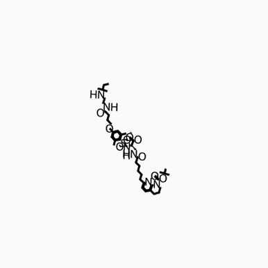 CCC(C)(C)NCCNC(=O)CCCOc1cc(C)c(S(=O)(=O)N[C@H](CNC(=O)CCCCCc2ccc3c(n2)N(C(=O)OC(C)(C)C)CCC3)C(=O)OC)c(C)c1